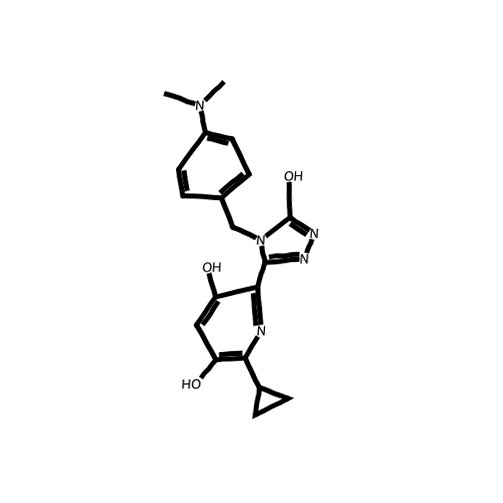 CN(C)c1ccc(Cn2c(O)nnc2-c2nc(C3CC3)c(O)cc2O)cc1